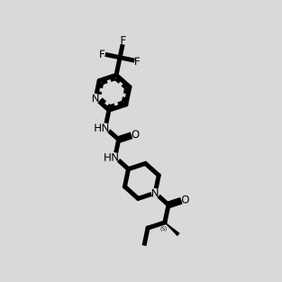 CC[C@H](C)C(=O)N1CCC(NC(=O)Nc2ccc(C(F)(F)F)cn2)CC1